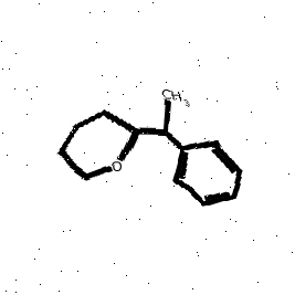 CC(c1ccccc1)C1C[CH]CCO1